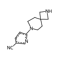 N#Cc1ccc(N2CCC3(CC2)CNC3)nc1